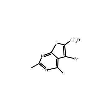 CCOC(=O)c1sc2nc(C)nc(C)c2c1Br